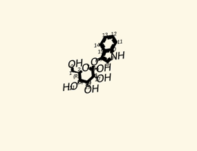 OC[C@H]1O[C@@](O)(Oc2c[nH]c3ccccc23)[C@H](O)[C@@H](O)[C@@H]1O